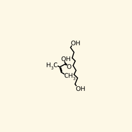 CC=C(C)C(=O)O.OCCCCCCCCCO